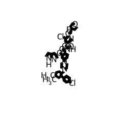 CC1(C)CCC(CN2CCN(c3ccc(C(=O)NS(=O)(=O)c4cnc(OCC5(F)CCOCC5)c(Cl)c4)c(Oc4cnc5[nH]ccc5c4)c3)CC2)=C(c2ccc(Cl)cc2)C1